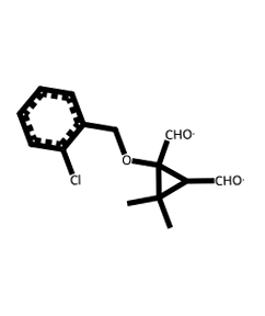 CC1(C)C([C]=O)C1([C]=O)OCc1ccccc1Cl